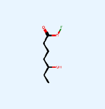 CCC(O)CCCC(=O)OF